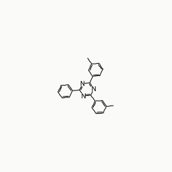 Cc1cccc(-c2nc(-c3ccccc3)nc(-c3cccc(C)c3)n2)c1